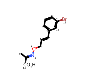 CC(=NOC/C=C/c1cccc(Br)c1)C(=O)O